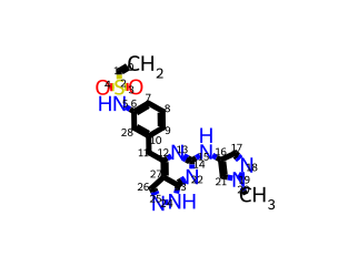 C=CS(=O)(=O)Nc1cccc(Cc2nc(Nc3cnn(C)c3)nc3[nH]ncc23)c1